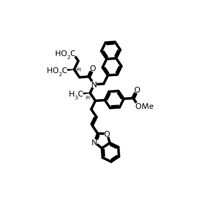 COC(=O)c1ccc(C(CC=Cc2nc3ccccc3o2)[C@@H](C)N(Cc2ccc3ccccc3c2)C(=O)C[C@H](CC(=O)O)C(=O)O)cc1